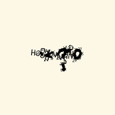 CCCSc1nc(N2C[C@@H]3C(OC(=O)O)[C@@H]3C2)ccc1C(=O)NC1CCCCC1